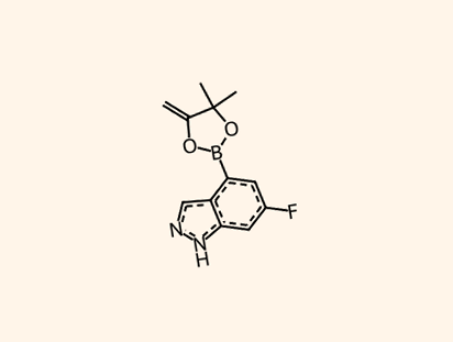 C=C1OB(c2cc(F)cc3[nH]ncc23)OC1(C)C